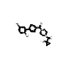 O=C(c1ccc(-c2cc(Cl)ccc2Cl)cc1)N1CCN(C(=O)C2(O)CC2)CC1